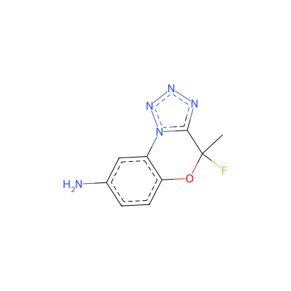 CC1(F)Oc2ccc(N)cc2-n2nnnc21